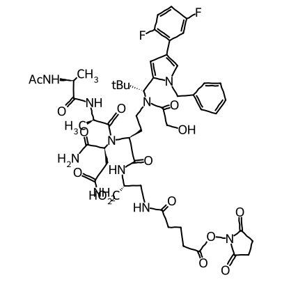 CC(=O)N[C@@H](C)C(=O)N[C@H](C)C(=O)N([C@@H](CC(N)=O)C(N)=O)[C@@H](CCN(C(=O)CO)[C@@H](c1cc(-c2cc(F)ccc2F)cn1Cc1ccccc1)C(C)(C)C)C(=O)N[C@H](CNC(=O)CCCC(=O)ON1C(=O)CCC1=O)C(=O)O